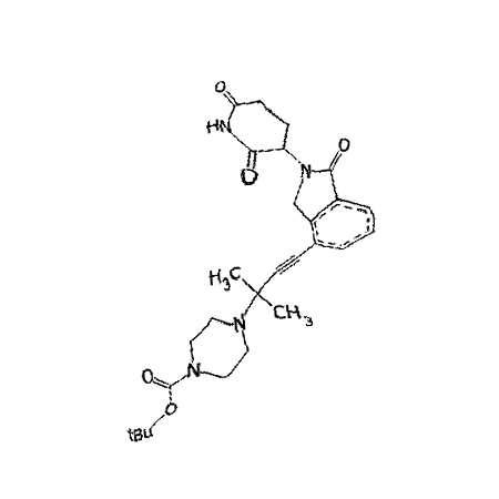 CC(C)(C)OC(=O)N1CCN(C(C)(C)C#Cc2cccc3c2CN(C2CCC(=O)NC2=O)C3=O)CC1